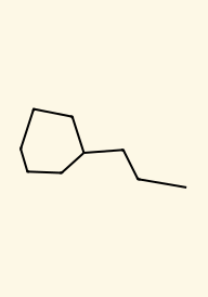 CCCC1CCCCC1